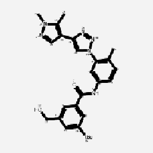 Cc1ccc(NC(=O)c2cc(CO)cc(C(C)(C)C)c2)cc1-n1cc(-c2cnn(C)c2C)nn1